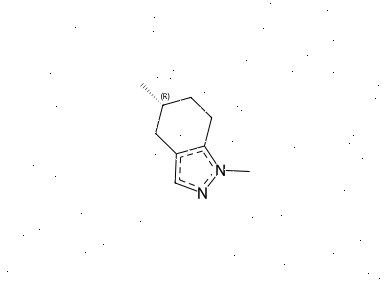 C[C@@H]1CCc2c(cnn2C)C1